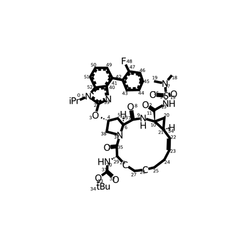 CC(C)n1c(O[C@@H]2C[C@H]3C(=O)N[C@]4(C(=O)NS(=O)(=O)N(C)C)C[C@H]4/C=C\CCCCC[C@H](NC(=O)OC(C)(C)C)C(=O)N3C2)nc2c(-c3ccccc3F)cccc21